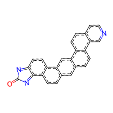 O=C1N=c2ccc3c(ccc4cc5ccc6c7cnccc7ccc6c5cc43)c2=N1